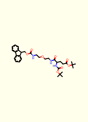 CC(C)(C)OC(=O)CCC(NC(=O)OC(C)(C)C)C(=O)NCCOCCNC(=O)OCC1c2ccccc2-c2ccccc21